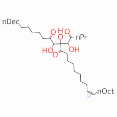 CCCCCCCC/C=C\CCCCCCCC(=O)C(O)(C(O)C(=O)CCC)C(O)C(=O)CCCCCCCCCCCCCCC